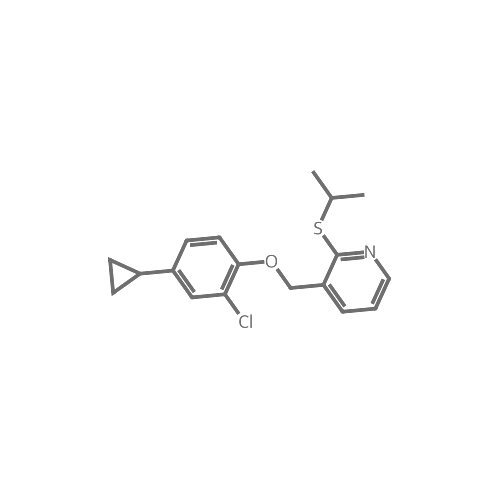 CC(C)Sc1ncccc1COc1ccc(C2CC2)cc1Cl